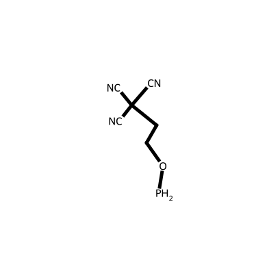 N#CC(C#N)(C#N)CCOP